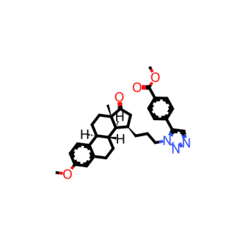 COC(=O)c1ccc(-c2cnnn2CCC[C@@H]2CC(=O)[C@@]3(C)CC[C@@H]4c5ccc(OC)cc5CC[C@H]4[C@H]23)cc1